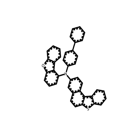 c1ccc(-c2ccc(N(c3ccc4c(ccc5sc6ccccc6c54)c3)c3cccc4oc5ccccc5c34)cc2)cc1